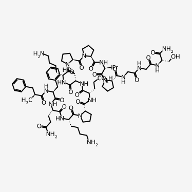 CC(C)[C@H](NC(=O)[C@@H]1CCCN1C(=O)[C@@H]1CCCN1C(=O)[C@@H](CCCCN)NC(=O)[C@H](CO)NC(=O)[C@H](CCC(=O)O)NC(=O)[C@@H]1CCCN1C(=O)[C@H](CCCCN)NC(=O)[C@H](CCC(N)=O)NC(=O)[C@H](Cc1ccccc1)NC(=O)[C@@H](C)Cc1ccccc1)C(=O)N1CCC[C@H]1C(=O)NCC(=O)NCC(=O)N[C@@H](CO)C(N)=O